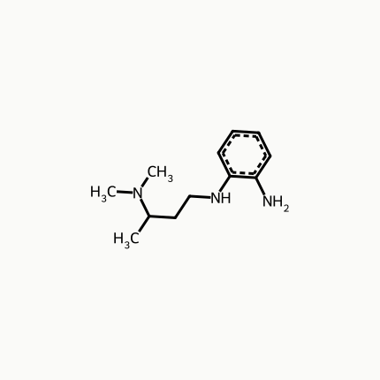 CC(CCNc1ccccc1N)N(C)C